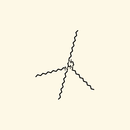 CCCCCCCCCCCCN1CCN(CCCCCCCCCCCC)C(N(CCCCCCCCCCCC)CCCCCCCCCCCC)C1